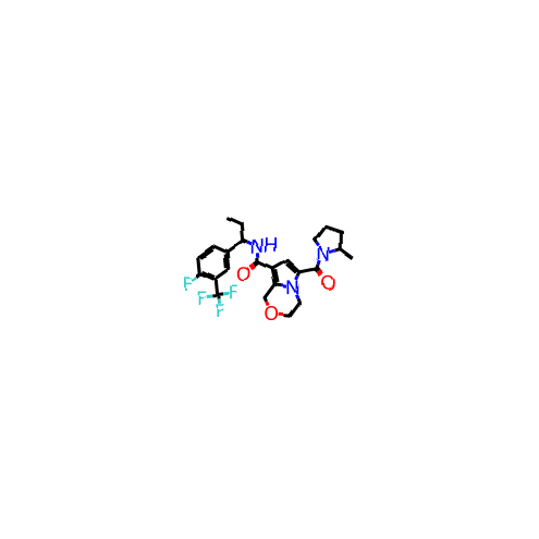 CCC(NC(=O)c1cc(C(=O)N2CCCC2C)n2c1COCC2)c1ccc(F)c(C(F)(F)F)c1